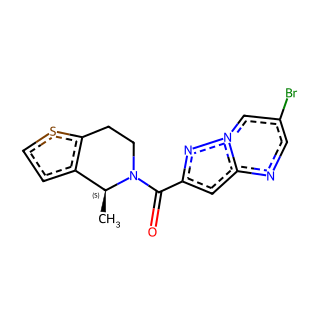 C[C@H]1c2ccsc2CCN1C(=O)c1cc2ncc(Br)cn2n1